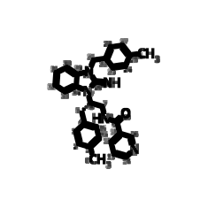 Cc1ccc(C[C@@H](CNC(=O)c2cccnc2)n2c(=N)n(Cc3ccc(C)cc3)c3ccccc32)cc1